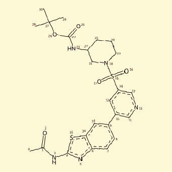 CC(=O)Nc1nc2ccc(-c3cncc(S(=O)(=O)N4CCCC(NC(=O)OC(C)(C)C)C4)c3)cc2s1